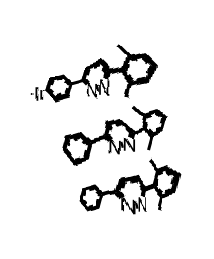 Cc1cccc(C)c1-c1ccc(-c2ccccc2)nn1.Cc1cccc(C)c1-c1ccc(-c2ccccc2)nn1.Cc1cccc(C)c1-c1ccc(-c2ccccc2)nn1.[Ir]